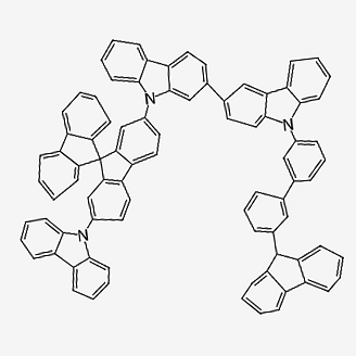 c1cc(-c2cccc(-n3c4ccccc4c4cc(-c5ccc6c7ccccc7n(-c7ccc8c(c7)C7(c9ccccc9-c9ccccc97)c7cc(-n9c%10ccccc%10c%10ccccc%109)ccc7-8)c6c5)ccc43)c2)cc(C2c3ccccc3-c3ccccc32)c1